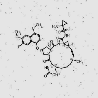 COc1cc2c(OC)cnc(O[C@@H]3C[C@H]4C(=O)N[C@]5(C(=O)NS(=O)(=O)C6(C)CC6)C[C@H]5C=C[C@@H](C)CCC[C@@H](C)[C@H](NC(=O)O)C(=O)N4C3)c2cc1F